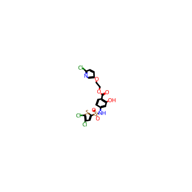 O=C(OCCOc1ccc(Cl)nc1)c1ccc(NS(=O)(=O)c2cc(Cl)c(Cl)s2)cc1O